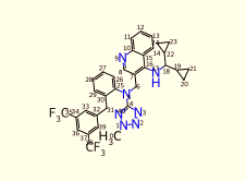 Cn1nnc(N(Cc2cnc3ccccc3c2NC(C2CC2)C2CC2)c2ccccc2Cc2cc(C(F)(F)F)cc(C(F)(F)F)c2)n1